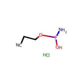 Cl.N#CCCOP(N)O